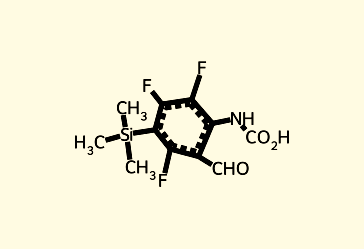 C[Si](C)(C)c1c(F)c(F)c(NC(=O)O)c(C=O)c1F